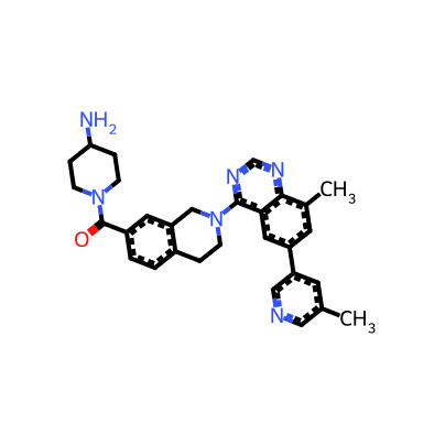 Cc1cncc(-c2cc(C)c3ncnc(N4CCc5ccc(C(=O)N6CCC(N)CC6)cc5C4)c3c2)c1